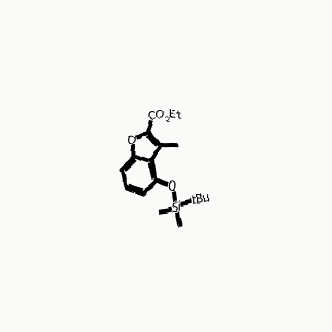 CCOC(=O)c1oc2cccc(O[Si](C)(C)C(C)(C)C)c2c1C